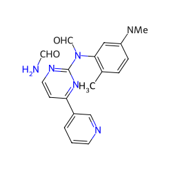 CNc1ccc(C)c(N(C=O)c2nccc(-c3cccnc3)n2)c1.NC=O